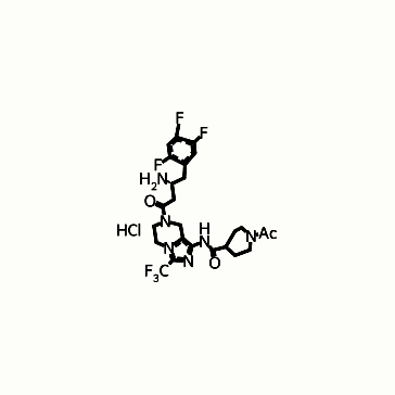 CC(=O)N1CCC(C(=O)Nc2nc(C(F)(F)F)n3c2CN(C(=O)C[C@H](N)Cc2cc(F)c(F)cc2F)CC3)CC1.Cl